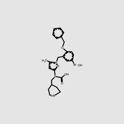 Cc1cc(N(CC2CCNCC2)C(=O)O)nn1Cc1cc(Br)ccc1OCc1ccccc1.Cl